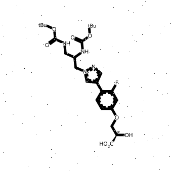 CC(C)(C)OC(=O)NCC(Cn1cc(-c2ccc(OC[C@@H](O)C(=O)O)cc2F)cn1)NC(=O)OC(C)(C)C